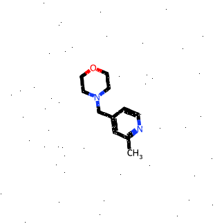 Cc1cc(CN2CCOCC2)c[c]n1